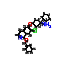 NC1(C2CCCCC2)CCC(Oc2cc3ccnc(OCc4ccccc4)c3cc2Cl)CC1